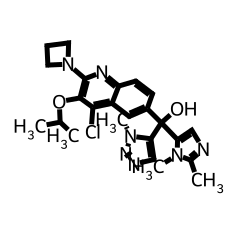 Cc1ncc(C(O)(c2ccc3nc(N4CCC4)c(OC(C)C)c(Cl)c3c2)c2cnnn2C)n1C